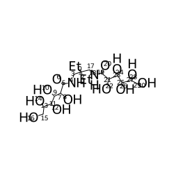 CCC(CC)(CNC(=O)C(O)C(O)C(O)C(O)CO)CNC(=O)C(O)C(O)C(O)C(O)CO